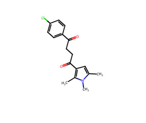 Cc1cc(C(=O)CCC(=O)c2ccc(Cl)cc2)c(C)n1C